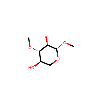 CO[C@@H]1OC[C@@H](O)[C@H](OC)[C@H]1O